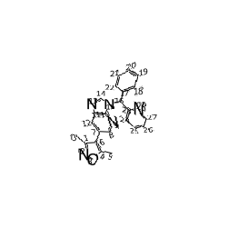 Cc1noc(C)c1-c1cnc2c(c1)ncn2C(c1ccccc1)c1ccccn1